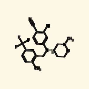 Cc1ccc(C(F)(F)F)cc1CN(c1ccc(C#N)c(Cl)c1)[C@H]1CCON(C)C1